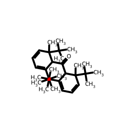 CC(C)(C)C1=CC=CC(C)(C(C)(C)C)C1C(=O)C1C(C(C)(C)C)=CC=CC1(C)C(C)(C)C